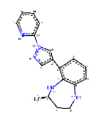 C[C@@H]1CCNc2cccc(-c3cnn(-c4ccccn4)c3)c2N1